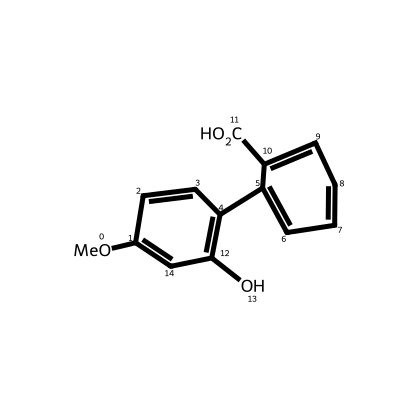 COc1ccc(-c2ccccc2C(=O)O)c(O)c1